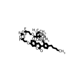 CCCCCc1ccc(-c2cc3ccc(OCCC(F)(F)OC(F)(F)OC(F)(F)CCOC(=O)C(C)(CC(C)(C)C)C(C)(C)C)cc3oc2=O)c(CC)c1